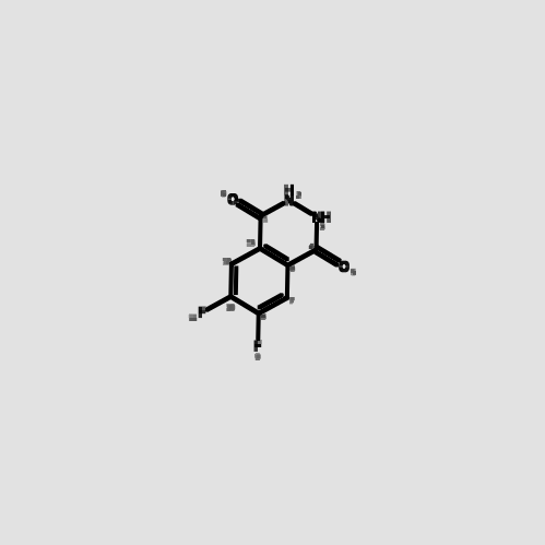 O=c1[nH][nH]c(=O)c2cc(F)c(F)cc12